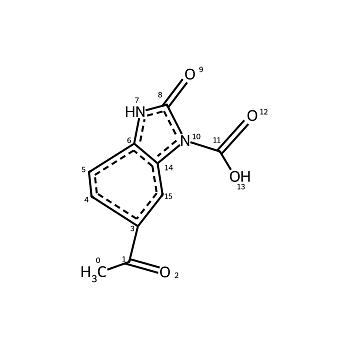 CC(=O)c1ccc2[nH]c(=O)n(C(=O)O)c2c1